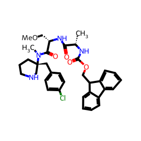 COC[C@H](NC(=O)[C@H](C)NC(=O)OCC1c2ccccc2-c2ccccc21)C(=O)N(C)[C@@]1(Cc2ccc(Cl)cc2)CCCNC1